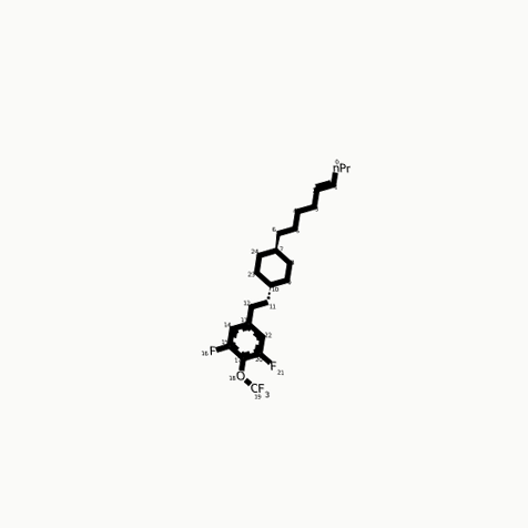 CCC/C=C/CCCC[C@H]1CC[C@H](CCc2cc(F)c(OC(F)(F)F)c(F)c2)CC1